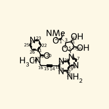 CNC(=O)[C@H]1O[C@@H](n2cnc3c(N)nc(C#CCN(C)C(=O)c4ccncc4)nc32)[C@H](O)C1O